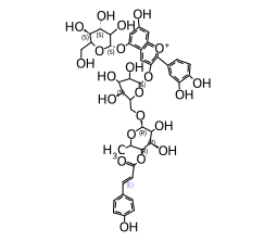 CC1O[C@@H](OCC2O[C@@H](Oc3cc4c(O[C@@H]5OC(CO)[C@@H](O)[C@H](O)C5O)cc(O)cc4[o+]c3-c3ccc(O)c(O)c3)C(O)C(O)[C@@H]2O)C(O)[C@@H](O)[C@H]1OC(=O)/C=C/c1ccc(O)cc1